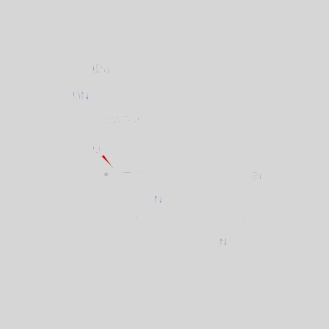 CC(C)(C)NC(=O)O[C@@H]1CCN(c2cncc(Br)c2)C1